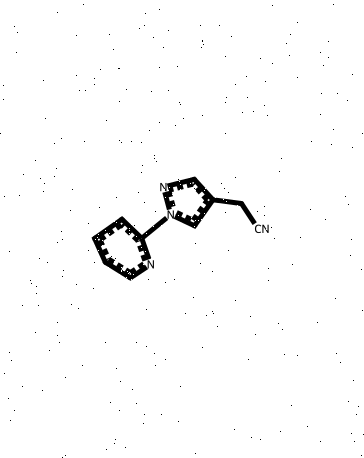 N#CCc1cnn(-c2ccccn2)c1